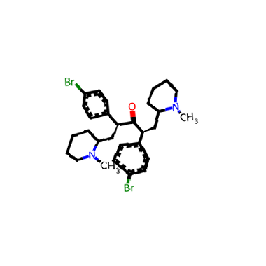 CN1CCCCC1C[C@H](C(=O)[C@@H](CC1CCCCN1C)c1ccc(Br)cc1)c1ccc(Br)cc1